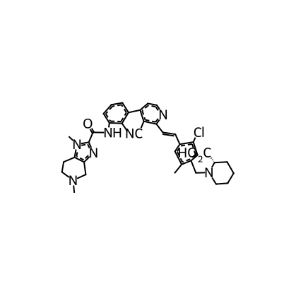 Cc1cc(/C=C/c2nccc(-c3cccc(NC(=O)c4nc5c(n4C)CCN(C)C5)c3C)c2C#N)c(Cl)cc1CN1CCCC[C@H]1C(=O)O